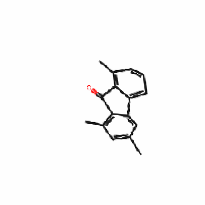 Cc1cc(C)c2c(c1)-c1cccc(C)c1C2=O